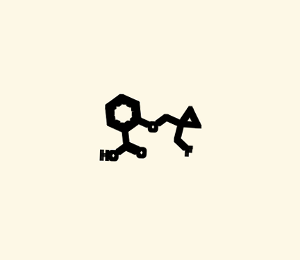 O=C(O)c1ccccc1OCC1(CF)CC1